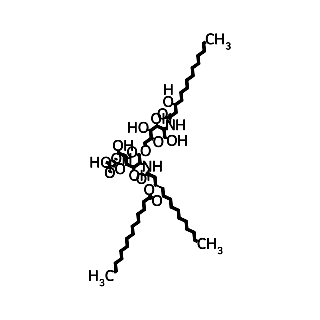 CCCCCCCCCCCCCC(=O)O[C@H](CCCCCCCCCCC)CC(=O)N[C@H]1C(O)[C@H](OP(=O)(O)O)C(CO)O[C@H]1OCC1O[C@H](O)C(NC(=O)C[C@H](O)CCCCCCCCCCC)[C@@H](O)[C@@H]1O